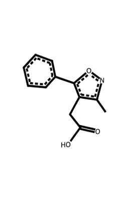 Cc1noc(-c2ccccc2)c1CC(=O)O